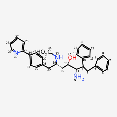 N[C@@H](C(Cc1ccccc1)c1ccccc1)[C@@H](O)C[C@H](Cc1ccc(-c2ccccn2)cc1)NC(=O)O